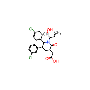 C=C[C@@H](CO)N1C(=O)C(CC(=O)O)C[C@H](c2cccc(Cl)c2)C1C1=CC=C(Cl)CC1C